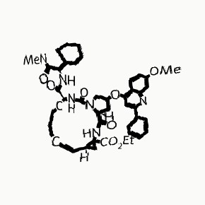 CCOC(=O)C12C[C@H]1/C=C\CCCCC[C@@H](C(=O)N[C@H](C(=O)NC)C1CCCCC1)NC(=O)N1CC(Oc3cc(-c4ccccc4)nc4cc(OC)ccc34)C[C@H]1C(=O)N2